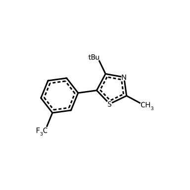 Cc1nc(C(C)(C)C)c(-c2cccc(C(F)(F)F)c2)s1